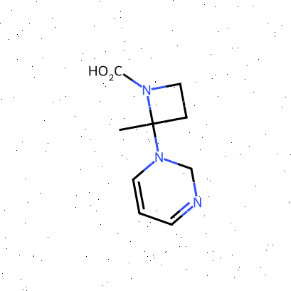 CC1(N2C=CC=NC2)CCN1C(=O)O